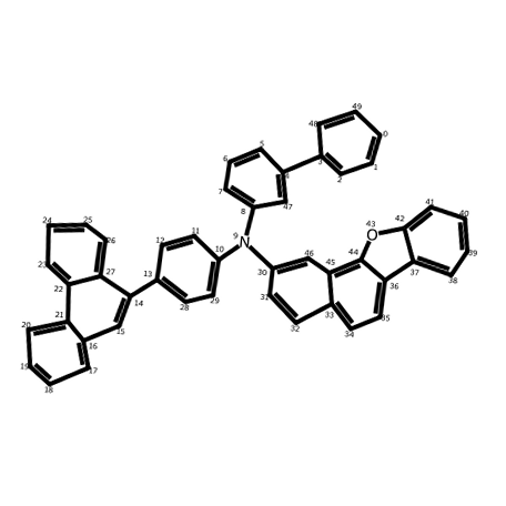 c1ccc(-c2cccc(N(c3ccc(-c4cc5ccccc5c5ccccc45)cc3)c3ccc4ccc5c6ccccc6oc5c4c3)c2)cc1